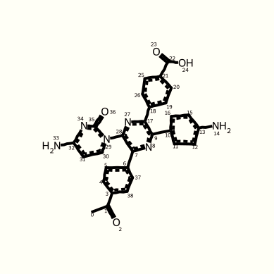 CC(=O)c1ccc(-c2nc(-c3ccc(N)cc3)c(-c3ccc(C(=O)O)cc3)nc2-n2ccc(N)nc2=O)cc1